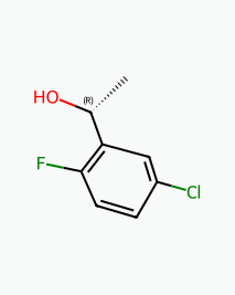 C[C@@H](O)c1cc(Cl)ccc1F